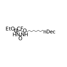 CCCCCCCCCCCCCCCCCCOC1NC(=O)NC(=O)C1(F)C(=O)OCC